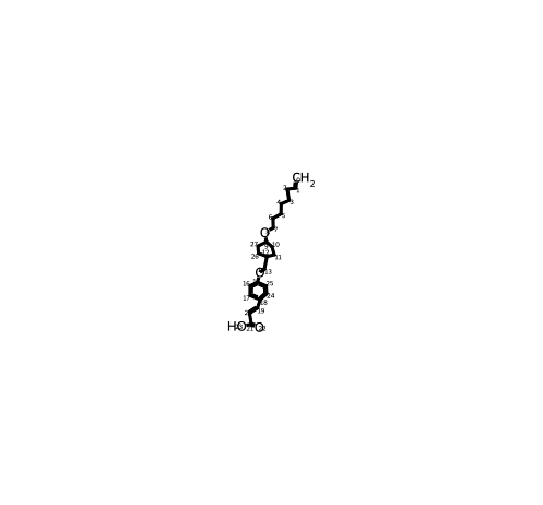 C=CCCCCCCOC1CCC(COc2ccc(C=CC(=O)O)cc2)CC1